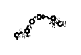 Cc1cccc(C(=O)Nc2cc3cn([C@H]4CC[C@H](CN5CCC6(CC5)CC(CCc5cccc7c5n(C)c(=O)n7C5CCC(=O)NC5=O)C6)CC4)nc3cc2C(F)F)n1